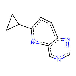 c1ncc2nc(C3CC3)ccc2n1